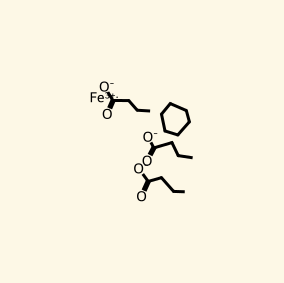 C1CCCCC1.CCCC(=O)[O-].CCCC(=O)[O-].CCCC(=O)[O-].[Fe+3]